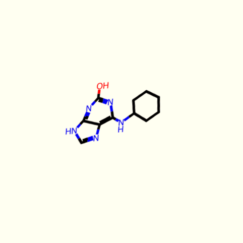 Oc1nc(NC2CCCCC2)c2nc[nH]c2n1